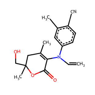 C=CN(C1=C(C)CC(C)(CO)OC1=O)c1ccc(C#N)c(C)c1